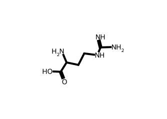 N=C(N)NCCC(N)C(=O)O